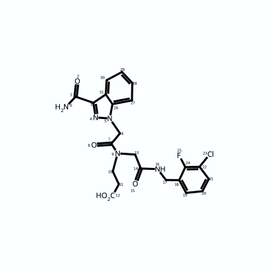 NC(=O)c1nn(CC(=O)N(CCC(=O)O)CC(=O)NCc2cccc(Cl)c2F)c2ccccc12